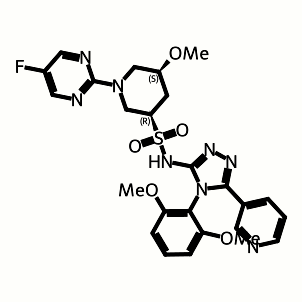 COc1cccc(OC)c1-n1c(NS(=O)(=O)[C@@H]2C[C@H](OC)CN(c3ncc(F)cn3)C2)nnc1-c1cccnc1